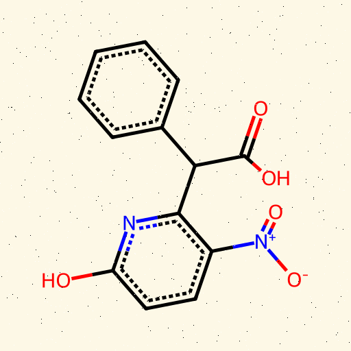 O=C(O)C(c1ccccc1)c1nc(O)ccc1[N+](=O)[O-]